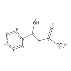 O=C(O)C(=O)CC(O)c1ccccc1